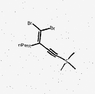 CCCCCC(C#CS(C)(C)C)=C(Br)Br